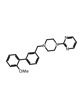 COc1ccccc1-c1cccc(CN2CCN(c3ncccn3)CC2)c1